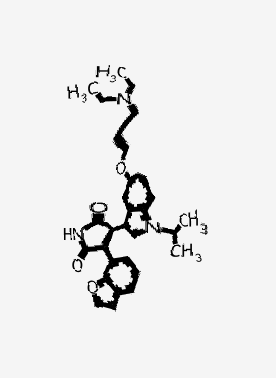 CCN(CC)CCCOc1ccc2c(c1)c(C1=C(c3cccc4ccoc34)C(=O)NC1=O)cn2C(C)C